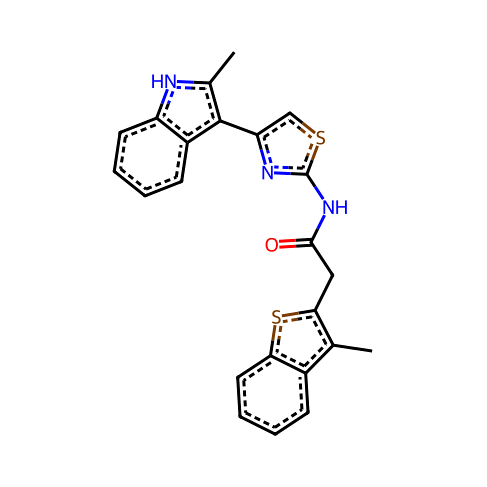 Cc1[nH]c2ccccc2c1-c1csc(NC(=O)Cc2sc3ccccc3c2C)n1